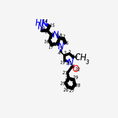 C[C@H]1C[C@H](Cn2ccc3nc(-c4cn[nH]c4)ccc32)CN1C(=O)Cc1ccccc1